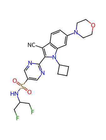 N#Cc1c(-c2ncc(S(=O)(=O)NC(CF)CF)cn2)n(C2CCC2)c2cc(N3CCOCC3)ccc12